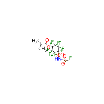 C=C(C)C(=O)OC1(F)C(F)(F)C(F)(F)C(F)(S(=O)(=O)NS(=O)(=O)CF)C(F)(F)C1(F)F